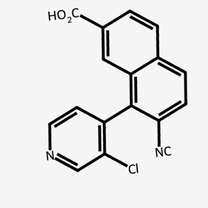 [C-]#[N+]c1ccc2ccc(C(=O)O)cc2c1-c1ccncc1Cl